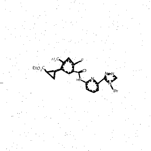 CCOC(=O)C1CC1c1cc(C(=O)Nc2cccc(-c3nncn3C(C)C)n2)c(F)cc1C